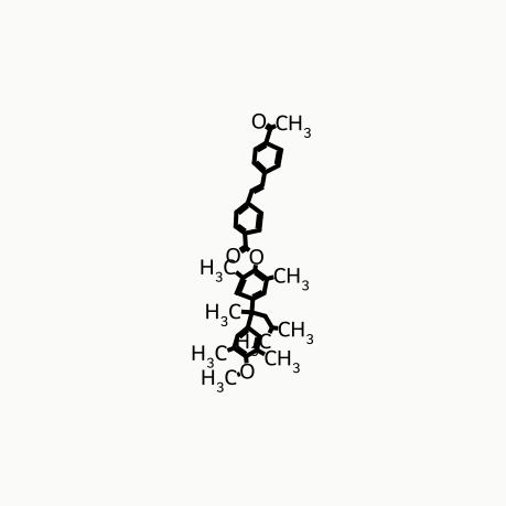 COc1c(C)cc(C(C)(CC(C)C)c2cc(C)c(OC(=O)c3ccc(C=Cc4ccc(C(C)=O)cc4)cc3)c(C)c2)cc1C